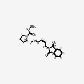 CC(C)(C)OC(=O)N1CCC[C@H]1CSC/C=C\CN1C(=O)c2ccccc2C1=O